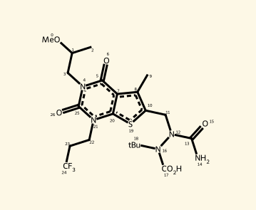 COC(C)Cn1c(=O)c2c(C)c(CN(C(N)=O)N(C(=O)O)C(C)(C)C)sc2n(CCC(F)(F)F)c1=O